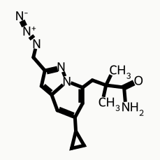 CC(C)(Cc1cc(C2CC2)cc2cc(CN=[N+]=[N-])nn12)C(N)=O